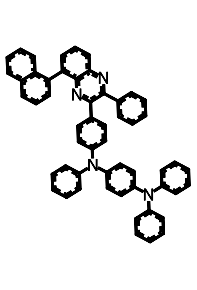 c1ccc(-c2nc3cccc(-c4cccc5ccccc45)c3nc2-c2ccc(N(c3ccccc3)c3ccc(N(c4ccccc4)c4ccccc4)cc3)cc2)cc1